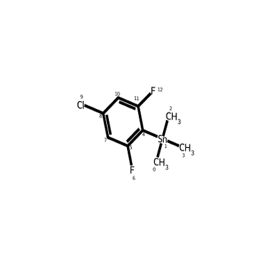 [CH3][Sn]([CH3])([CH3])[c]1c(F)cc(Cl)cc1F